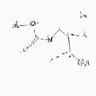 CC(C)CC1CN(C(=O)OC(C)(C)C)C[C@H]1C(=O)O